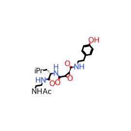 CC(=O)NCCNC(=O)[C@H](CC(C)C)NC(=O)C1O[C@@H]1C(=O)NCCc1ccc(O)cc1